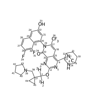 [2H]C([2H])(Oc1nc(N2CC3CCC2CN3)c2cc(C(F)(F)F)n(-c3cc(O)cc4ccc(F)c(F)c34)c(=O)c2n1)C1(CN2CCCC2)CC1